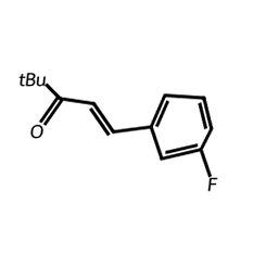 CC(C)(C)C(=O)/C=C/c1cccc(F)c1